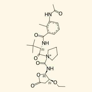 CCO[C@H]1CC(=O)O[C@H]1NC(=O)[N+]1(C(=O)[C@@H](NC(=O)c2cccc(NC(C)=O)c2C)C(C)(C)C)CCCC1